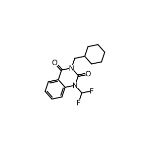 O=c1c2ccccc2n(C(F)F)c(=O)n1CC1CCCCC1